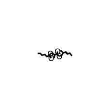 CC/C=C/C1COC(C2COC(CCCCC)OC2)OC1